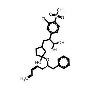 C=C/C=C\C[C@H](Cc1ccccc1)OC1(O)CCC(CC(c2ccc(S(C)(=O)=O)c(Cl)c2)C(O)O)C1